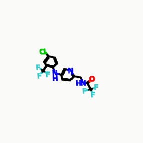 O=C(NCc1ccc(Nc2ccc(Cl)cc2C(F)(F)F)cn1)C(F)(F)F